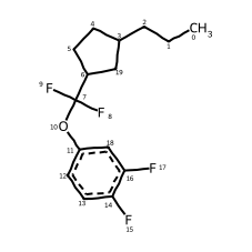 CCCC1CCC(C(F)(F)Oc2ccc(F)c(F)c2)C1